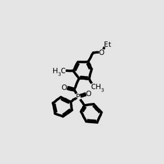 CCOCc1cc(C)c(C(=O)P(=O)(c2ccccc2)c2ccccc2)c(C)c1